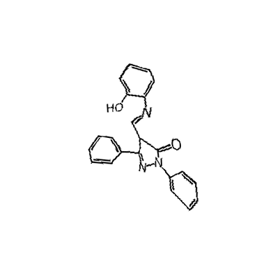 O=C1C(/C=N/c2ccccc2O)C(c2ccccc2)=NN1c1ccccc1